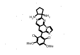 COc1cc(OC)c(Cl)c(-c2cc3cnc(C4(N)CCCC4N)nc3n3ccnc23)c1Cl